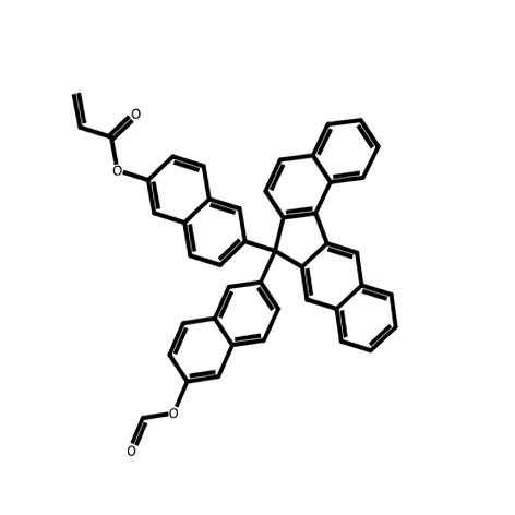 C=CC(=O)Oc1ccc2cc(C3(c4ccc5cc(OC=O)ccc5c4)c4cc5ccccc5cc4-c4c3ccc3ccccc43)ccc2c1